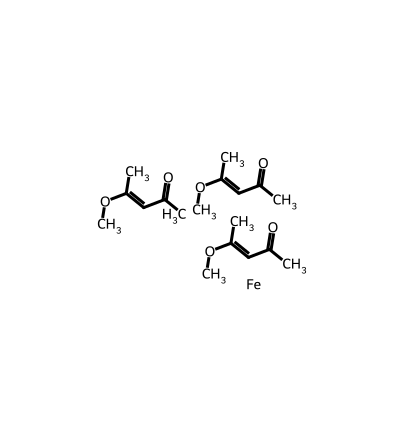 COC(C)=CC(C)=O.COC(C)=CC(C)=O.COC(C)=CC(C)=O.[Fe]